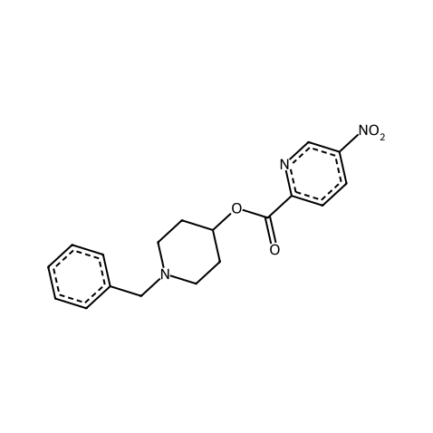 O=C(OC1CCN(Cc2ccccc2)CC1)c1ccc([N+](=O)[O-])cn1